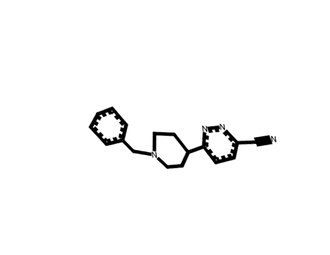 N#Cc1ccc(C2CCN(Cc3ccccc3)CC2)nn1